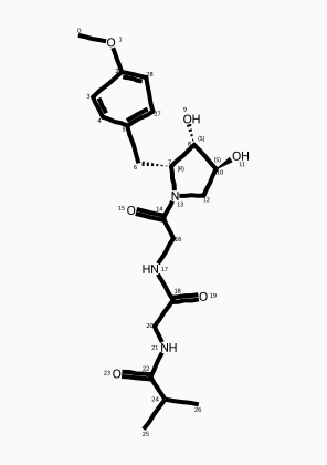 COc1ccc(C[C@@H]2[C@H](O)[C@@H](O)CN2C(=O)CNC(=O)CNC(=O)C(C)C)cc1